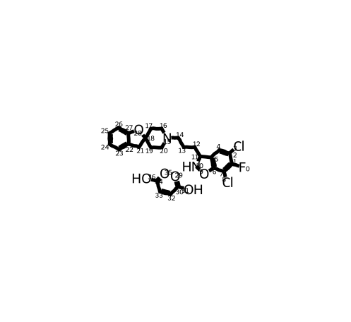 Fc1c(Cl)cc2c(c1Cl)ONC2CCCN1CCC2(CC1)Cc1ccccc1O2.O=C(O)/C=C\C(=O)O